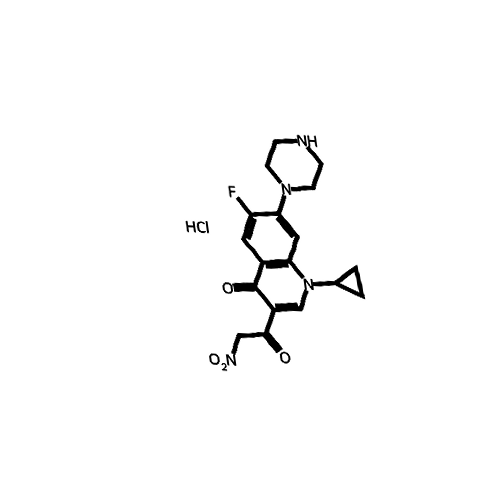 Cl.O=C(C[N+](=O)[O-])c1cn(C2CC2)c2cc(N3CCNCC3)c(F)cc2c1=O